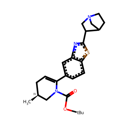 C[C@H]1CC=C(c2ccc3sc(C4CN5CCC4C5)nc3c2)N(C(=O)OC(C)(C)C)C1